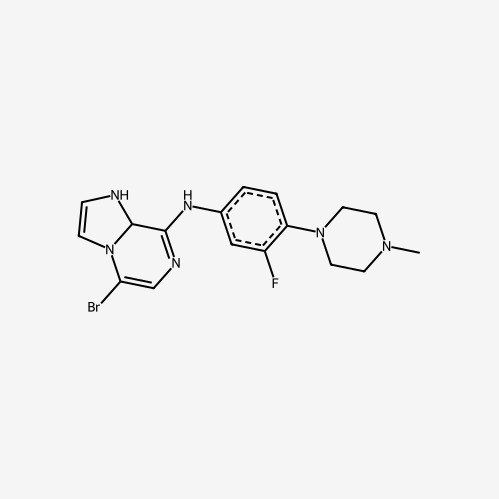 CN1CCN(c2ccc(NC3=NC=C(Br)N4C=CNC34)cc2F)CC1